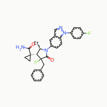 CC[C@@H]1[C@@H](C2(C(N)=O)CC2)[C@@](F)(Cc2ccccc2)C(=O)N1c1ccc2c(cnn2-c2ccc(F)cc2)c1